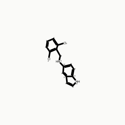 Clc1cccc(Cl)c1CNc1ccc2[nH]ccc2c1